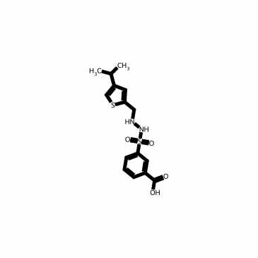 CC(C)c1csc(CNNS(=O)(=O)c2cccc(C(=O)O)c2)c1